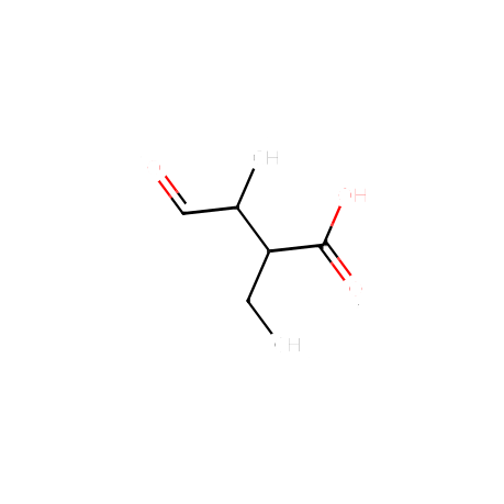 CCC(C(=O)O)C(C)C=O